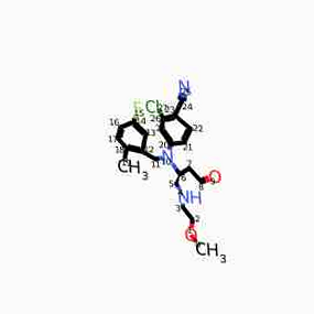 COCCNC[C@H](CC=O)N(Cc1cc(F)ccc1C)c1ccc(C#N)c(Cl)c1